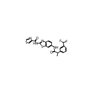 CC(C(=O)Nc1ccc2nc(NC(=O)c3cscn3)sc2c1)c1cccc(C(F)F)c1